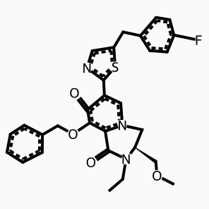 CCN1C(=O)c2c(OCc3ccccc3)c(=O)c(-c3ncc(Cc4ccc(F)cc4)s3)cn2C[C@H]1COC